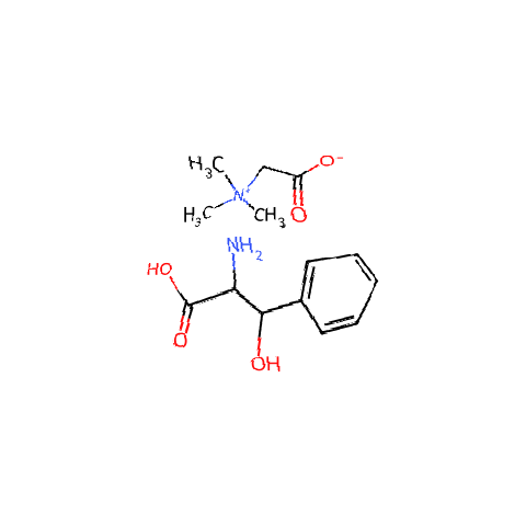 C[N+](C)(C)CC(=O)[O-].NC(C(=O)O)C(O)c1ccccc1